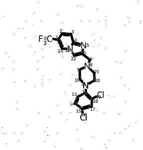 FC(F)(F)c1ccc2nc(CN3CCN(c4ccc(Cl)cc4Cl)CC3)cn2c1